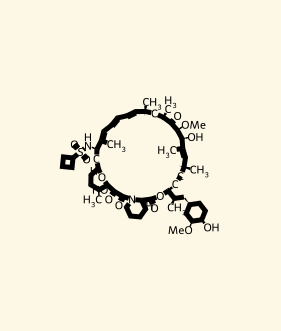 CO[C@@H]1C[C@H](C[C@@H](C)[C@@H]2CC[C@H](C)/C=C(\C)[C@@H](O)[C@@H](OC)C(=O)[C@H](C)C[C@H](C)/C=C/C=C/C=C(\C)[C@@H](NS(=O)(=O)C3CCC3)C[C@@H]3CC[C@@H](C)[C@@](O)(O3)C(=O)C(=O)N3CCCC[C@H]3C(=O)O2)CC[C@H]1O